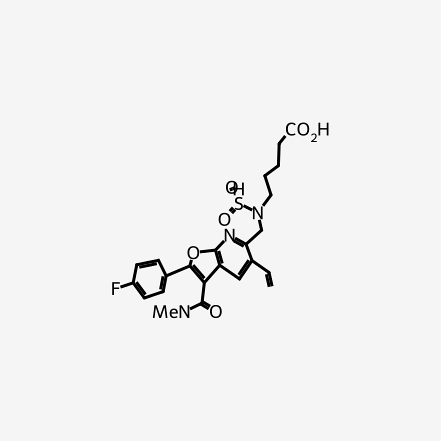 C=Cc1cc2c(C(=O)NC)c(-c3ccc(F)cc3)oc2nc1CN(CCCCC(=O)O)[SH](=O)=O